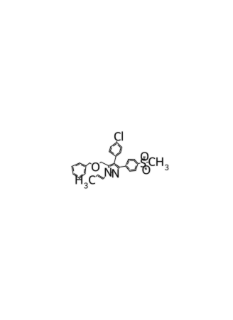 CC=Cn1nc(-c2ccc(S(C)(=O)=O)cc2)c(-c2ccc(Cl)cc2)c1COCc1ccccc1